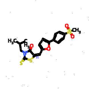 CC(C)CN1C(=O)/C(=C\c2ccc(-c3ccc(S(C)(=O)=O)cc3)o2)SC1=S